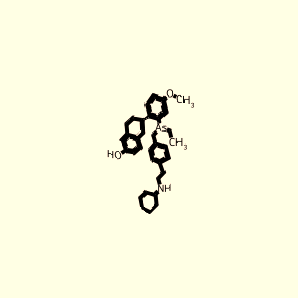 CC[As](Cc1ccc(CCNC2CCCCC2)cc1)c1cc(OC)ccc1[C@@H]1CCc2cc(O)ccc2C1